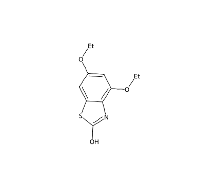 CCOc1cc(OCC)c2nc(O)sc2c1